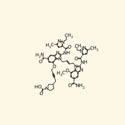 CCn1nc(C)cc1C(=O)Nc1nc2cc(C(N)=O)cc(OC)c2n1C/C=C/Cn1c(NC(=O)c2cc(C)nn2CC)nc2cc(C(N)=O)cc(OCC#CCC3CCN(C(=O)O)C3)c21